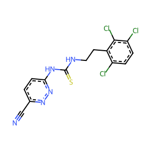 N#Cc1ccc(NC(=S)NCCc2c(Cl)ccc(Cl)c2Cl)nn1